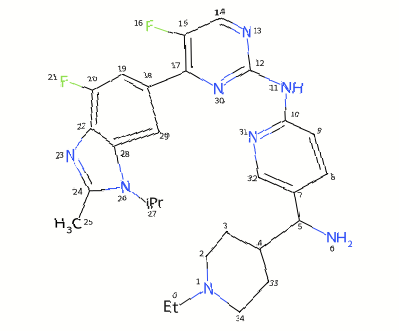 CCN1CCC(C(N)c2ccc(Nc3ncc(F)c(-c4cc(F)c5nc(C)n(C(C)C)c5c4)n3)nc2)CC1